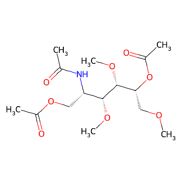 COC[C@@H](OC(C)=O)[C@@H](OC)[C@H](OC)[C@H](COC(C)=O)NC(C)=O